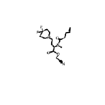 C=CCCC(=O)N(C)C(CCN1CCC(F)(F)CC1)C(=O)OCC#N